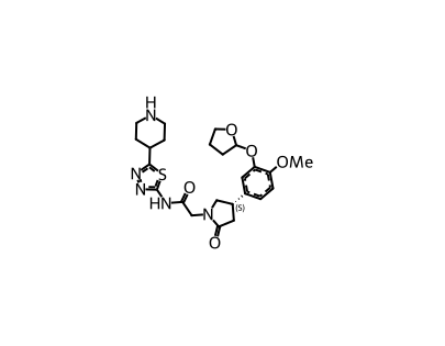 COc1ccc([C@@H]2CC(=O)N(CC(=O)Nc3nnc(C4CCNCC4)s3)C2)cc1OC1CCCO1